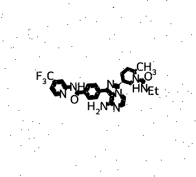 CCNC(=O)N1C[C@H](c2nc(-c3ccc(C(=O)Nc4cc(C(F)(F)F)ccn4)cc3)c3c(N)nccn23)CC[C@H]1C